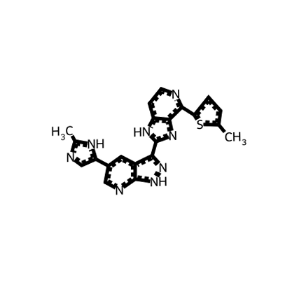 Cc1ncc(-c2cnc3[nH]nc(-c4nc5c(-c6ccc(C)s6)nccc5[nH]4)c3c2)[nH]1